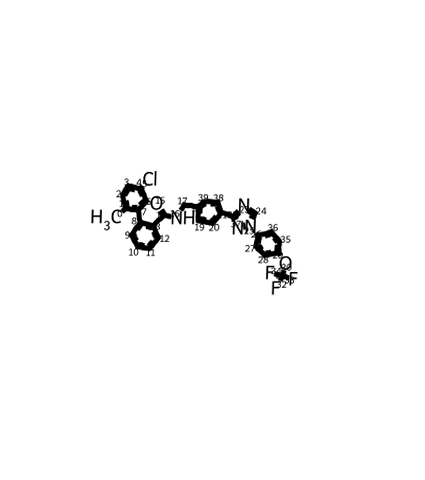 Cc1ccc(Cl)cc1-c1ccccc1C(=O)NCc1ccc(-c2ncn(-c3ccc(OC(F)(F)F)cc3)n2)cc1